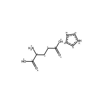 NC(CCC(=O)O)C(=O)O.c1c[nH]cn1